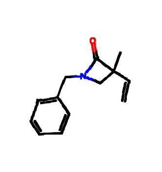 C=CC1(C)CN(Cc2ccccc2)C1=O